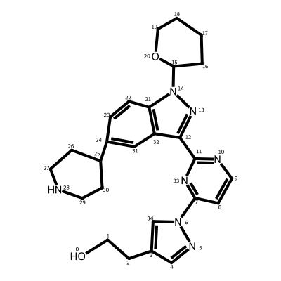 OCCc1cnn(-c2ccnc(-c3nn(C4CCCCO4)c4ccc(C5CCNCC5)cc34)n2)c1